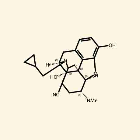 CN[C@@H]1CC[C@@]2(O)[C@H]3Cc4ccc(O)c5c4[C@@]2(CC(C#N)N3CC2CC2)[C@H]1O5